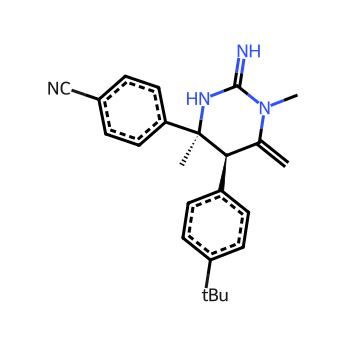 C=C1[C@@H](c2ccc(C(C)(C)C)cc2)[C@@](C)(c2ccc(C#N)cc2)NC(=N)N1C